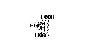 OCCCCCCCCO.OCCCCCCCCO.OCCCCCCCCO.OP(O)O